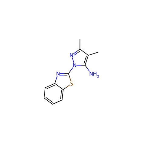 Cc1nn(-c2nc3ccccc3s2)c(N)c1C